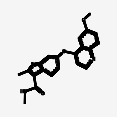 CNC(=O)c1c(C)sc2cc(Oc3ccnc4ccc(OC)cc34)ccc12